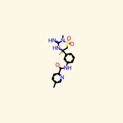 Cc1ccc(C(=O)Nc2cccc([C@]3(C)CS(=O)(=O)N(C)C(=N)N3)c2)nc1